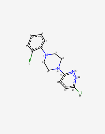 Fc1ccccc1N1CCN(c2ccc(Cl)nn2)CC1